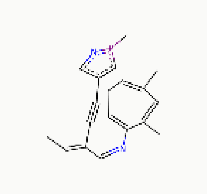 C/C=C(C#Cc1cnp(C)c1)/C=N\C1=CCC=C(C)C=C1C